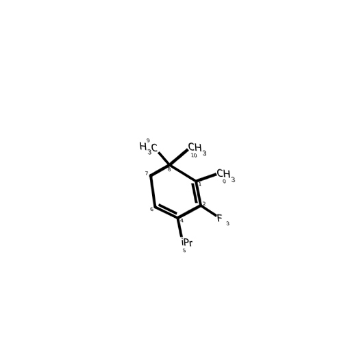 CC1=C(F)C(C(C)C)=CCC1(C)C